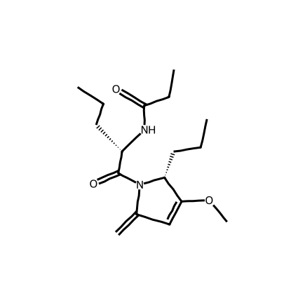 C=C1C=C(OC)[C@@H](CCC)N1C(=O)[C@H](CCC)NC(=O)CC